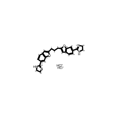 Cl.Cl.c1cc2cc(CCCc3cc4ccc(C5=NCCN5)cc4o3)oc2cc1C1=NCCN1